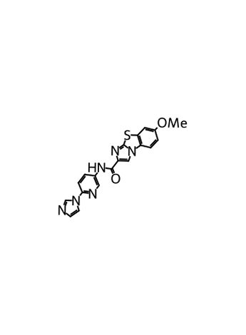 COc1ccc2c(c1)sc1nc(C(=O)Nc3ccc(-n4ccnc4)nc3)cn12